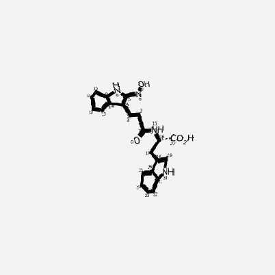 O=C(CCC1C(=NO)Nc2ccccc21)N[C@@H](Cc1c[nH]c2ccccc12)C(=O)O